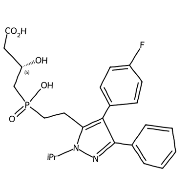 CC(C)n1nc(-c2ccccc2)c(-c2ccc(F)cc2)c1CCP(=O)(O)C[C@@H](O)CC(=O)O